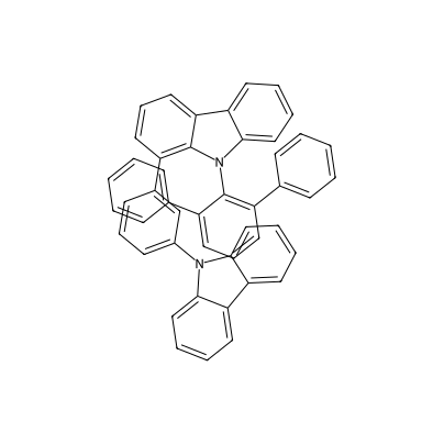 c1ccc(-c2cccc(-c3ccccc3)c2-n2c3ccccc3c3cccc(-c4cccc(-n5c6ccccc6c6ccccc65)c4)c32)cc1